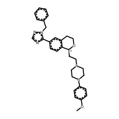 COc1ccc(N2CCN(CC[C@@H]3OCCc4cc(-c5ncnn5Cc5ccccc5)ccc43)CC2)cc1